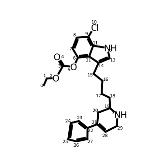 CCOC(=O)Oc1ccc(Cl)c2[nH]cc(CCCCC3CC(c4ccccc4)=CCN3)c12